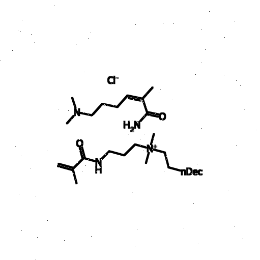 C=C(C)C(=O)NCCC[N+](C)(C)CCCCCCCCCCCC.CC(=CCCCN(C)C)C(N)=O.[Cl-]